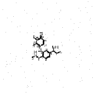 CCC(O)c1ccc(CNC)c(Oc2ccc(Cl)c(C)c2C)c1